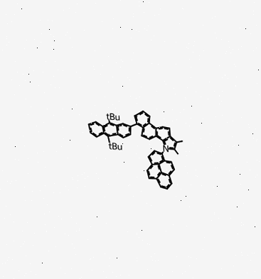 Cc1c(C)n(-c2ccc3ccc4cccc5ccc2c3c45)c2c1ccc1c3cccc(-c4ccc5c(C(C)(C)C)c6ccccc6c(C(C)(C)C)c5c4)c3ccc12